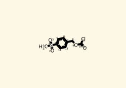 CS(=O)(=O)c1ccc(COC(=O)Cl)cc1